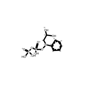 O=P(O)(O)OP(=O)(O)ON(CC(O)O)c1ccccc1